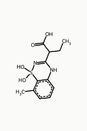 CCC(C(=O)O)C1=NS(O)(O)c2c(C)cccc2N1